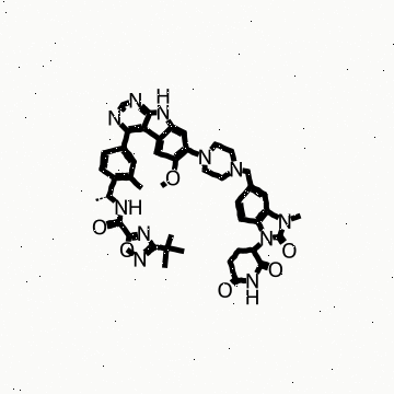 COc1cc2c(cc1N1CCN(Cc3ccc4c(c3)n(C)c(=O)n4C3CCC(=O)NC3=O)CC1)[nH]c1ncnc(-c3ccc([C@@H](C)NC(=O)c4nc(C(C)(C)C)no4)c(C)c3)c12